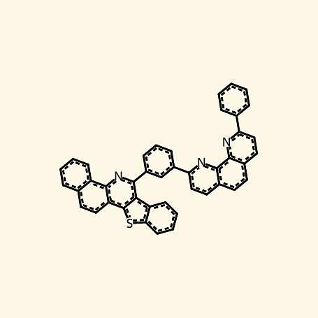 c1ccc(-c2ccc3ccc4ccc(-c5cccc(-c6nc7c8ccccc8ccc7c7sc8ccccc8c67)c5)nc4c3n2)cc1